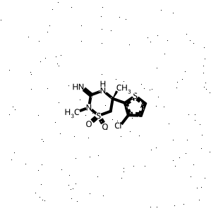 CN1C(=N)N[C@](C)(c2sccc2Cl)CS1(=O)=O